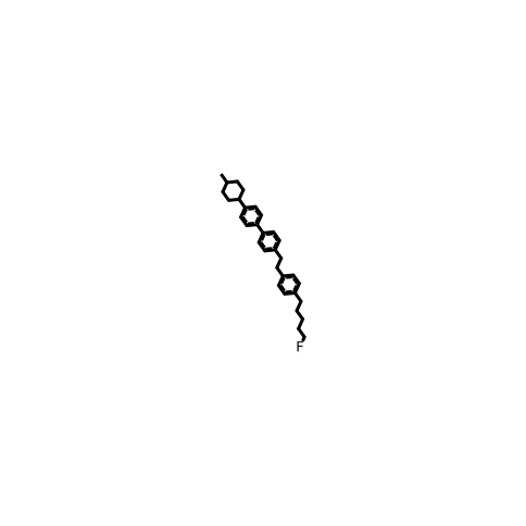 CC1CCC(c2ccc(-c3ccc(CCc4ccc(CCCCCF)cc4)cc3)cc2)CC1